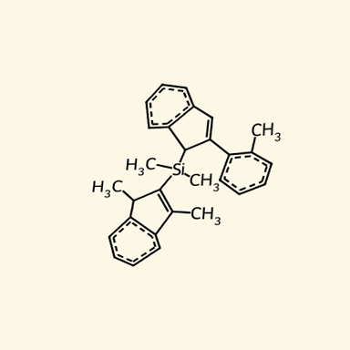 CC1=C([Si](C)(C)C2C(c3ccccc3C)=Cc3ccccc32)C(C)c2ccccc21